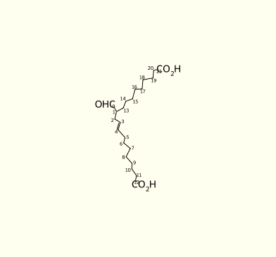 O=CC(C/C=C/CCCCCCCC(=O)O)CCCCCCCCC(=O)O